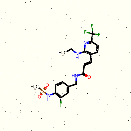 CCNc1nc(C(F)(F)F)ccc1C=CC(=O)NCc1ccc(NS(C)(=O)=O)c(F)c1